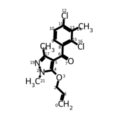 C=CCOc1c(C(=O)c2ccc(Cl)c(C)c2Cl)c(C)nn1C